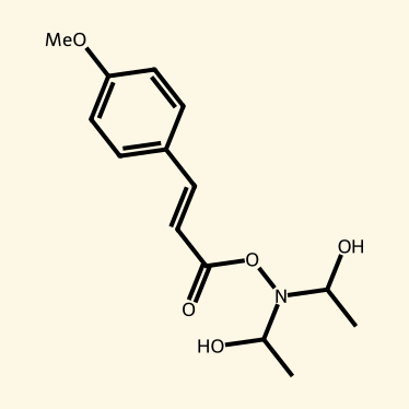 COc1ccc(C=CC(=O)ON(C(C)O)C(C)O)cc1